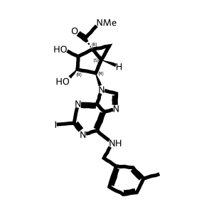 CNC(=O)[C@]12C[C@@H]1[C@@H](n1cnc3c(NCc4cccc(C)c4)nc(I)nc31)[C@@H](O)C2O